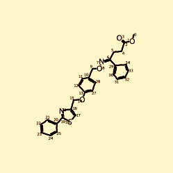 COC(=O)CCC(=NOCc1ccc(OCc2csc(-c3ccccc3)n2)cc1)c1ccccc1